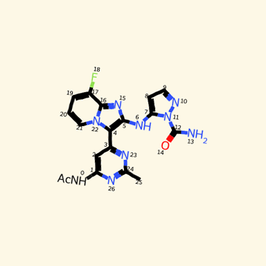 CC(=O)Nc1cc(-c2c(Nc3ccnn3C(N)=O)nc3c(F)cccn23)nc(C)n1